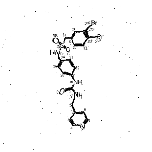 O=C(NCc1ccncc1)Nc1ccc(NS(=O)(=O)Cc2ccc(Br)c(Br)c2)cc1